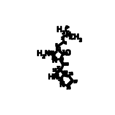 CN(C)CCCN1C(=O)/C(=C/c2c[nH]c3ncccc23)N=C1N